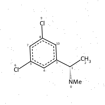 CN[C@@H](C)c1cc(Cl)cc(Cl)c1